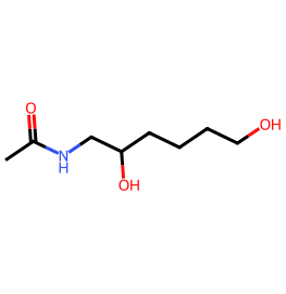 CC(=O)NCC(O)CCCCO